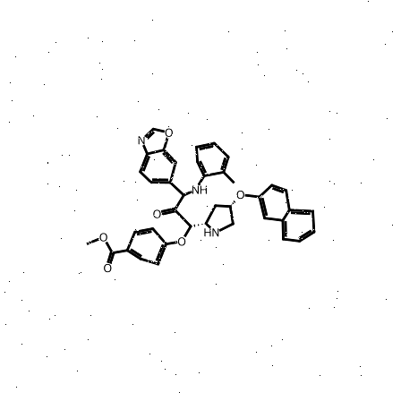 COC(=O)c1ccc(OC(C(=O)C(Nc2ccccc2C)c2ccc3ncoc3c2)[C@@H]2C[C@H](Oc3ccc4ccccc4c3)CN2)cc1